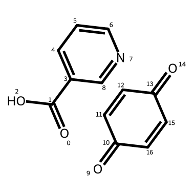 O=C(O)c1cccnc1.O=C1C=CC(=O)C=C1